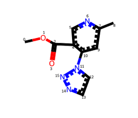 COC(=O)c1cnc(C)cc1-n1ccnn1